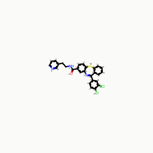 O=C(NCCc1cccnc1)c1ccc2c(c1)N=C(c1ccc(Cl)c(Cl)c1)c1ccccc1S2